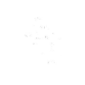 CCC(C)(C)C(=O)N1CCC1C1=CC=CC1